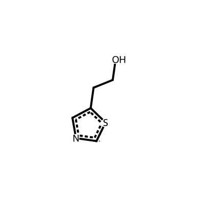 OCCc1cn[c]s1